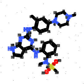 Cc1cc(N2CCN(C)CC2)ccc1Nc1nc(Nc2ccccc2N(C)S(C)(=O)=O)c2cc[nH]c2n1